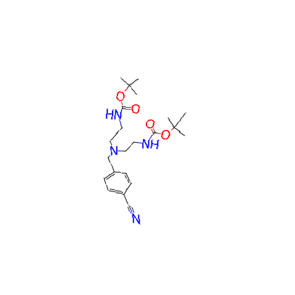 CC(C)(C)OC(=O)NCCN(CCNC(=O)OC(C)(C)C)Cc1ccc(C#N)cc1